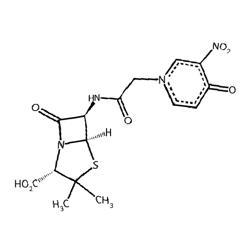 CC1(C)S[C@@H]2[C@H](NC(=O)Cn3ccc(=O)c([N+](=O)[O-])c3)C(=O)N2[C@H]1C(=O)O